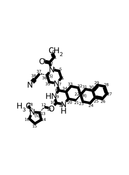 C=CC(=O)N1CCN(C2NC(OC[C@@H]3CCCN3C)NC3C[C@@]4(CCc5ccccc5C4)CCC32)C[C@@H]1CC#N